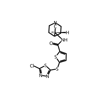 O=C(N[C@H]1CN2CCC1CC2)c1ccc(Sc2nnc(Cl)s2)s1